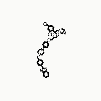 Clc1ccc(C2(Cn3ccnc3)OCC(COc3ccc(N4CCN(Cc5ccc(-c6nc7ccccc7s6)cc5)CC4)cc3)O2)c(Cl)c1